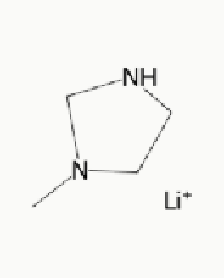 CN1CCNC1.[Li+]